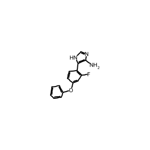 Nc1nc[nH]c1-c1ccc(Oc2ccccc2)cc1F